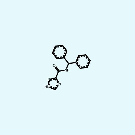 O=C(NC(c1ccccc1)c1ccccc1)c1nc[nH]n1